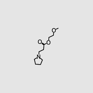 COCCOC(=O)CCN1CCCC1